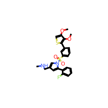 CNCc1cc(-c2ccccc2F)n(S(=O)(=O)c2cccc(-c3scc(OC)c3OC)c2)c1